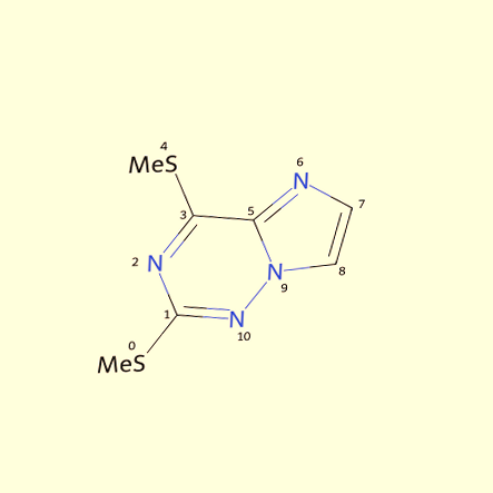 CSc1nc(SC)c2nccn2n1